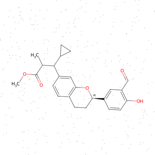 COC(=O)C(C)C(c1ccc2c(c1)O[C@@H](c1ccc(O)c(C=O)c1)CC2)C1CC1